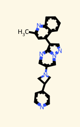 Cc1cc(-c2cnn3cc(N4CC(c5ccncc5)C4)cnc23)c2ccccc2n1